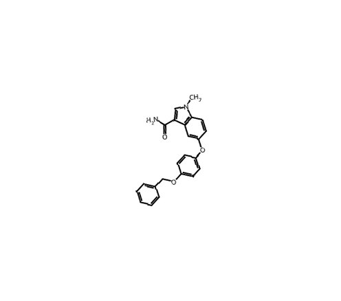 Cn1cc(C(N)=O)c2cc(Oc3ccc(OCc4ccccc4)cc3)ccc21